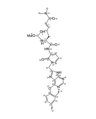 COC(O)N[C@@H](CC/C=C/C(=O)N(C)C)C(=O)Nc1cccn(Cc2nc3c(Oc4ccc(F)cc4F)ncnc3[nH]2)c1=O